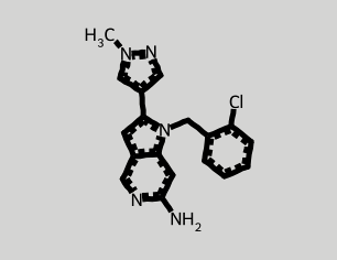 Cn1cc(-c2cc3cnc(N)cc3n2Cc2ccccc2Cl)cn1